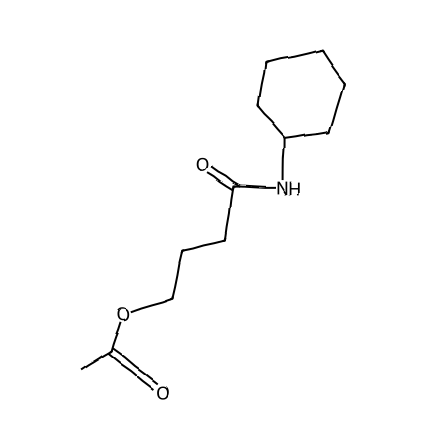 CC(=O)OCCCC(=O)NC1CCCCC1